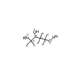 CC(C)OC(C)(C)C(C)(C)C(O)C(C)(C)C(C)(C)C